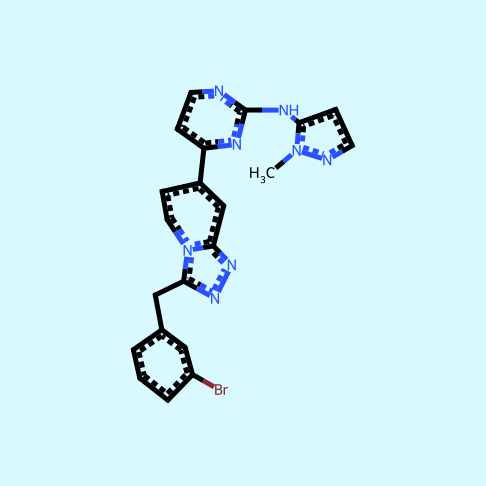 Cn1nccc1Nc1nccc(-c2ccn3c(Cc4cccc(Br)c4)nnc3c2)n1